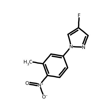 Cc1cc(-n2cc(F)cn2)ccc1[N+](=O)[O-]